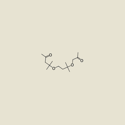 CC(=O)COC(C)(C)CCOC(C)(C)CC(C)=O